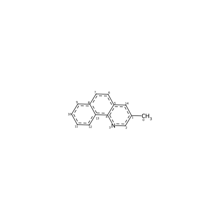 Cc1cnc2c(ccc3ccccc32)c1